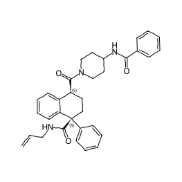 C=CCNC(=O)[C@]1(c2ccccc2)CC[C@H](C(=O)N2CCC(NC(=O)c3ccccc3)CC2)c2ccccc21